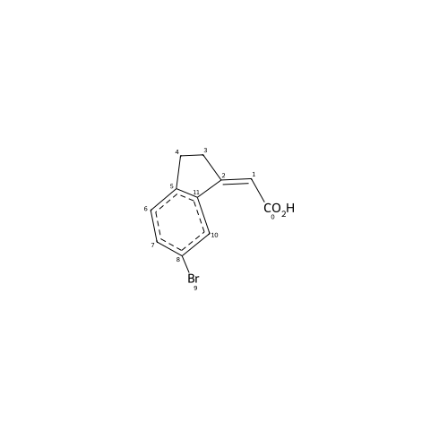 O=C(O)/C=C1/CCc2ccc(Br)cc21